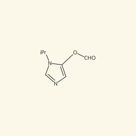 CC(C)n1cncc1OC=O